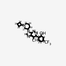 Cc1c(-c2ccc(C(F)(F)F)cc2O)nnc2c1ncn2[C@@H]1CCCN(C2CCC2)C1